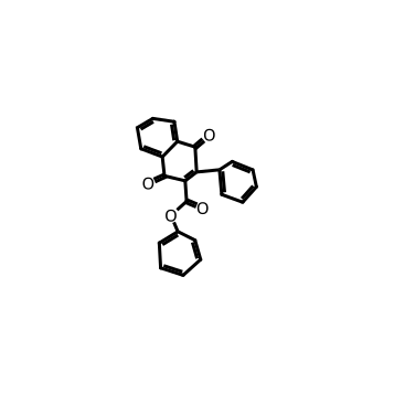 O=C(Oc1ccccc1)C1=C(c2ccccc2)C(=O)c2ccccc2C1=O